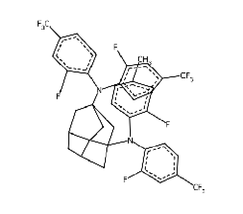 Cc1ccc(N(c2ccc(C(F)(F)F)cc2F)C23CC4CC5CC(N(c6ccc(C(F)(F)F)cc6F)c6ccc(C(F)(F)F)cc6F)(CC542)C3)c(F)c1